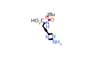 CC(C)(C)OC(=O)NC(CC#Cc1cnc(N)cn1)C(=O)O